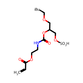 C=CC(=O)OCCNC(=O)OC(COCC(C)CC)COS(=O)(=O)O